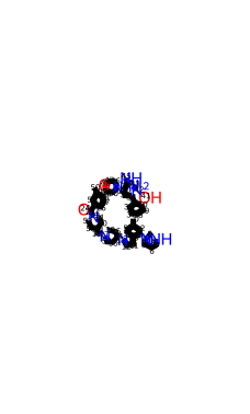 Cc1cc(N2C=CCNC2)c2ccn(C3CCN(CC4CCN(C(=O)c5ccc([C@H]6CN(c7cc(-c8ccccc8O)nnc7N)CCO6)c(C)c5)CC4)CC3)c2c1